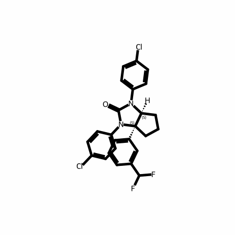 O=C1N(c2ccc(Cl)cc2)[C@H]2CCC[C@@]2(c2cccc(C(F)F)c2)N1c1ccc(Cl)cc1